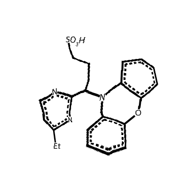 CCc1ccnc(C(CCS(=O)(=O)O)N2c3ccccc3Oc3ccccc32)n1